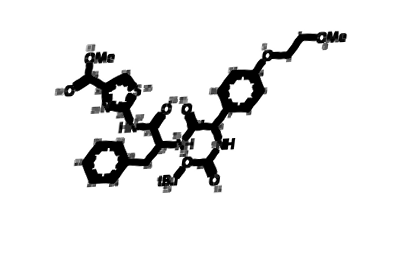 COCCOc1ccc(C(NC(=O)OC(C)(C)C)C(=O)NC(Cc2ccccc2)C(=O)Nc2nc(C(=O)OC)cs2)cc1